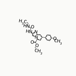 CCNC(=O)Nc1cn2c(C(=O)OCC)cc(-c3ccc(OC)cc3)cc2n1